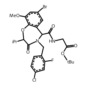 COc1cc(Br)cc2c1OC(C(C)C)C(=O)N(Cc1ccc(Cl)cc1F)C2C(=O)NCC(=O)OC(C)(C)C